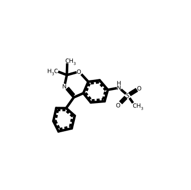 CC1(C)N=C(c2ccccc2)c2ccc(NS(C)(=O)=O)cc2O1